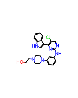 OCCN1CCN(c2cccc(Nc3ncc(Cl)c(-c4c[nH]c5ccccc45)n3)c2)CC1